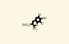 CCOC(=O)C1=Cc2cc(Cl)c(O)c(Cl)c2OC1C(F)(F)F